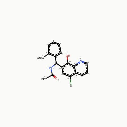 CCCC(=O)NC(c1ccccc1OC)c1cc(Cl)c2cccnc2c1O